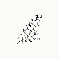 CC(C)c1nc2c(c3c1[C@@H](c1ccc(C(C)(C)C)cc1)OC31CCCC1)[C@@H](O)CC1(CCC1)C2